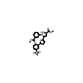 COC(=O)c1cccc(N2NC(C(=O)OC)C=C2C2=CCC(c3cccc(S(C)(=O)=O)c3)S2)c1